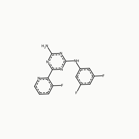 Nc1nc(Nc2cc(F)cc(F)c2)nc(-c2ncccc2F)n1